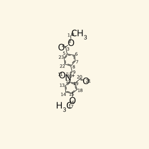 CCOC(=O)c1ccc(C=[N+]([O-])c2ccc(OC)cc2C=O)cc1